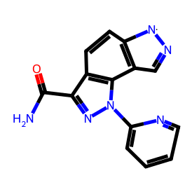 NC(=O)c1nn(-c2ccccn2)c2c3c(ccc12)[N]N=C3